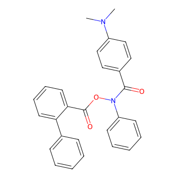 CN(C)c1ccc(C(=O)N(OC(=O)c2ccccc2-c2ccccc2)c2ccccc2)cc1